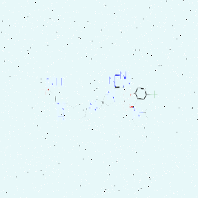 CCN(C(=O)c1cc(F)ccc1Oc1nncnc1N1CCC2(C1)CN([C@H](CCCN[C@H](C)CC(=O)NC)C(C)C)C2)C(C)C